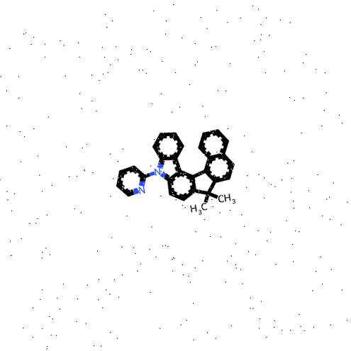 CC1(C)c2ccc3ccccc3c2-c2c1ccc1c2c2ccccc2n1-c1ccccn1